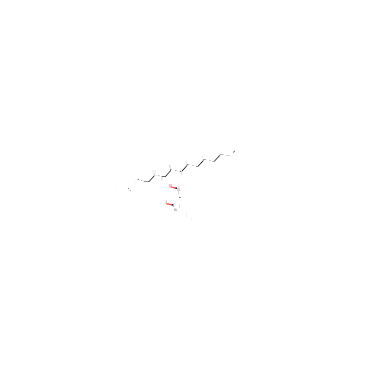 CCC=CC=CC=C(C=CC=CCC)OC(=O)CC(C)=O